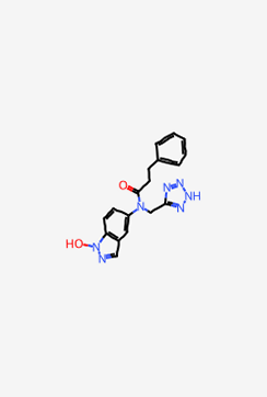 O=C(CCc1ccccc1)N(Cc1nn[nH]n1)c1ccc2c(cnn2O)c1